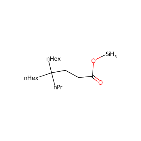 CCCCCCC(CCC)(CCCCCC)CCC(=O)O[SiH3]